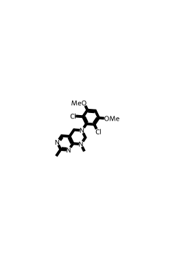 COc1cc(OC)c(Cl)c(N2Cc3cnc(C)nc3N(C)C2)c1Cl